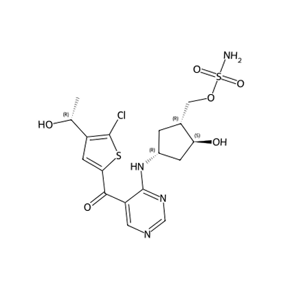 C[C@@H](O)c1cc(C(=O)c2cncnc2N[C@@H]2C[C@H](COS(N)(=O)=O)[C@@H](O)C2)sc1Cl